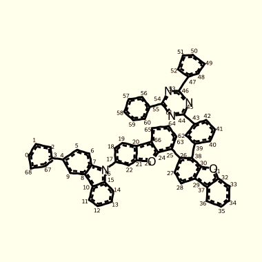 c1ccc(-c2ccc3c(c2)c2ccccc2n3-c2ccc3c(c2)oc2c(-c4ccc5c(oc6ccccc65)c4-c4cccc(-c5nc(-c6ccccc6)nc(-c6ccccc6)n5)c4)cccc23)cc1